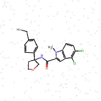 Cn1c(C(=O)NC2(c3ccc(CC#N)cc3)CCOC2)cc2c(Cl)c(Cl)ccc21